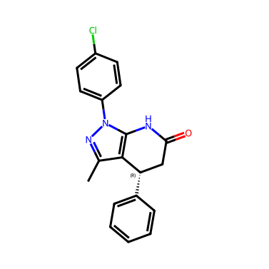 Cc1nn(-c2ccc(Cl)cc2)c2c1[C@@H](c1ccccc1)CC(=O)N2